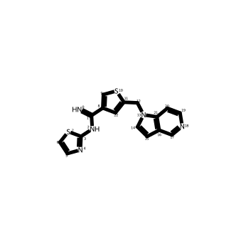 N=C(Nc1nccs1)c1csc(Cn2ccc3cnccc32)c1